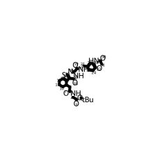 CC(C)(C)OC(=O)CNC(=O)CC1CCCc2sc3nc(C(=O)NCc4ccc5c(c4)NC(=O)CO5)[nH]c(=O)c3c21